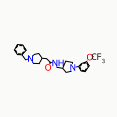 O=C(CC1CCN(Cc2ccccc2)CC1)NCC1CCN(c2cccc(OC(F)(F)F)c2)CC1